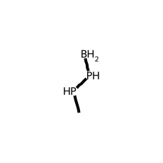 BPPC